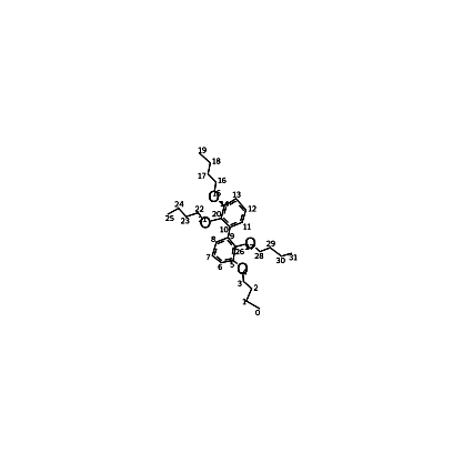 CCCCOc1cccc(-c2cccc(OCCCC)c2OCCCC)c1OCCCC